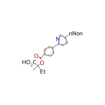 CCCCCCCCCc1ccc(-c2ccc(C(=O)OC(C)(CC)C(=O)O)cc2)nc1